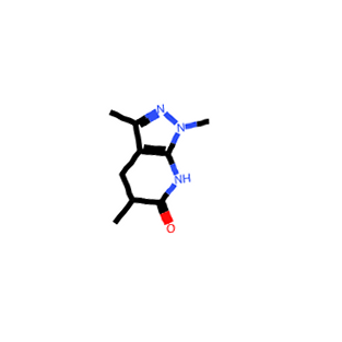 Cc1nn(C)c2c1CC(C)C(=O)N2